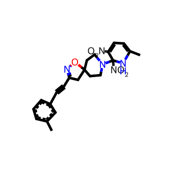 CC1=CC=C([N+](=O)[O-])C(N2CCC3(CC2)CC(C#Cc2cccc(C)c2)=NO3)([N+](=O)[O-])N1